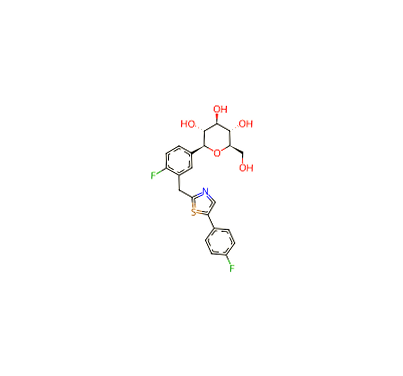 OC[C@H]1O[C@@H](c2ccc(F)c(Cc3ncc(-c4ccc(F)cc4)s3)c2)[C@H](O)[C@@H](O)[C@@H]1O